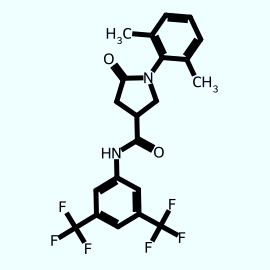 Cc1cccc(C)c1N1CC(C(=O)Nc2cc(C(F)(F)F)cc(C(F)(F)F)c2)CC1=O